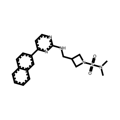 CN(C)S(=O)(=O)N1CC(CNc2nccc(-c3ccc4ccccc4c3)n2)C1